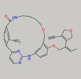 C#CC1=C(/C(=C\C)COc2ccc3cc2COCCCCNC(=O)c2ccc(c([N+](=O)[O-])c2)-c2ccnc(n2)N3)COC1